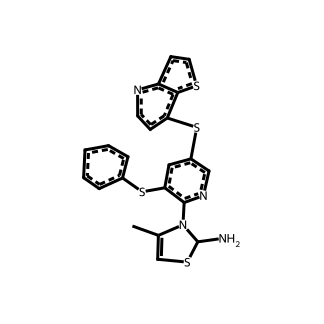 CC1=CSC(N)N1c1ncc(Sc2ccnc3ccsc23)cc1Sc1ccccc1